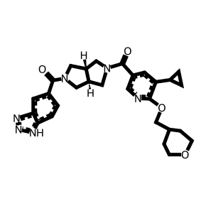 O=C(c1cnc(OCC2CCOCC2)c(C2CC2)c1)N1C[C@H]2CN(C(=O)c3ccc4[nH]nnc4c3)C[C@@H]2C1